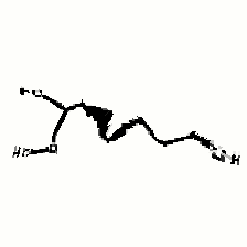 OCCCCCC(O)OO